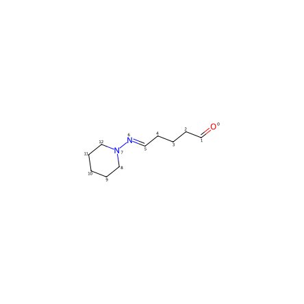 O=CCCCC=NN1CCCCC1